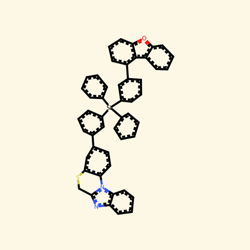 c1ccc([Si](c2ccccc2)(c2cccc(-c3ccc4c(c3)SCc3nc5ccccc5n3-4)c2)c2cccc(-c3cccc4oc5ccccc5c34)c2)cc1